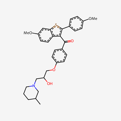 COc1ccc(-c2sc3cc(OC)ccc3c2C(=O)c2ccc(OCC(O)CN3CCCC(C)C3)cc2)cc1